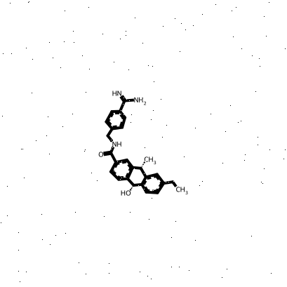 CCc1ccc2c(c1)[C@@H](C)c1cc(C(=O)NCc3ccc(C(=N)N)cc3)ccc1[C@H]2O